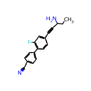 CCC(N)C#Cc1ccc(-c2ccc(C#N)cc2)c(F)c1